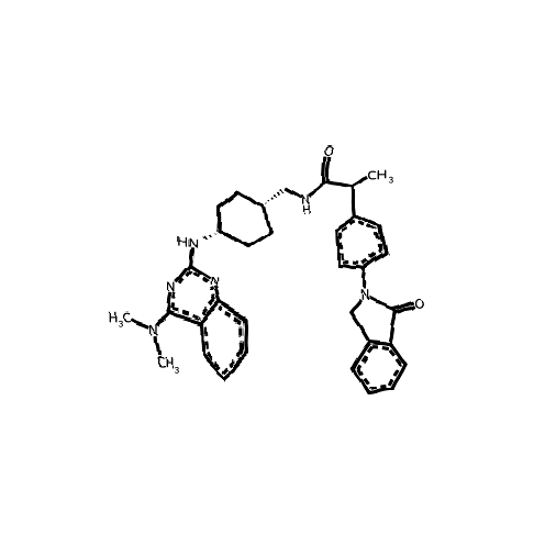 CC(C(=O)NC[C@H]1CC[C@@H](Nc2nc(N(C)C)c3ccccc3n2)CC1)c1ccc(N2Cc3ccccc3C2=O)cc1